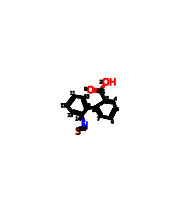 O=C(O)c1ccccc1-c1ccccc1N=S